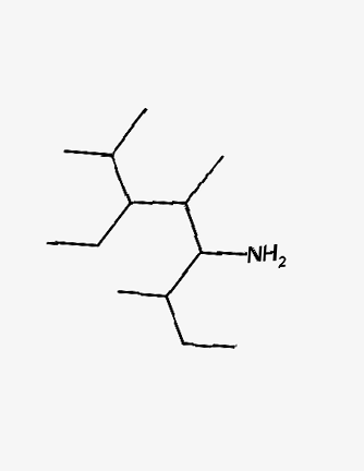 CCC(C)C(N)C(C)C(CC)C(C)C